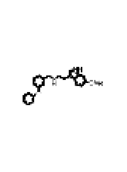 COc1ccc2c(CCNCc3cccc(Oc4ccccc4)c3)c[nH]c2c1